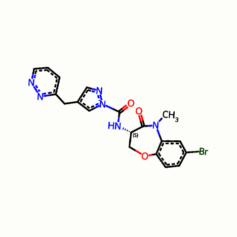 CN1C(=O)[C@@H](NC(=O)n2cc(Cc3cccnn3)cn2)COc2ccc(Br)cc21